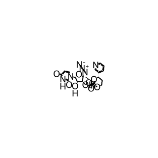 [N-]=[N+]=N[C@]1(COP2(=O)OCC[C@@H](c3cccnc3)O2)OC(n2ccc(=O)[nH]c2=O)[C@H](O)[C@@H]1O